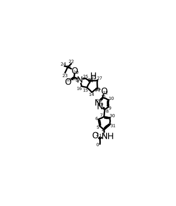 CC(=O)Nc1ccc(-c2ccc(O[C@@H]3CC4CN(C(=O)OC(C)(C)C)C[C@H]4C3)nn2)cc1